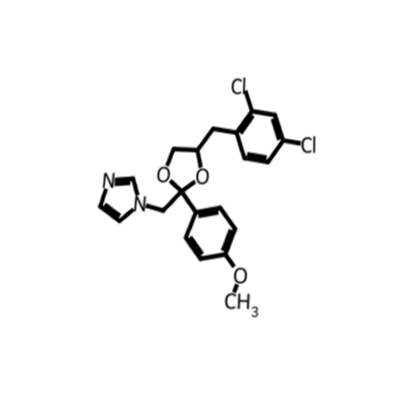 COc1ccc(C2(Cn3ccnc3)OCC(Cc3ccc(Cl)cc3Cl)O2)cc1